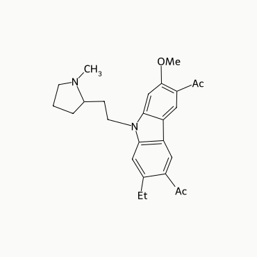 CCc1cc2c(cc1C(C)=O)c1cc(C(C)=O)c(OC)cc1n2CCC1CCCN1C